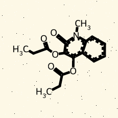 CCC(=O)Oc1c(OC(=O)CC)c2ccccc2n(C)c1=O